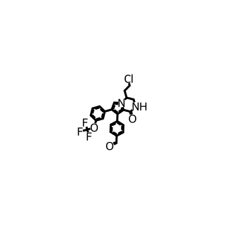 O=Cc1ccc(-c2c(-c3cccc(OC(F)(F)F)c3)cn3c2C(=O)NCC3CCCl)cc1